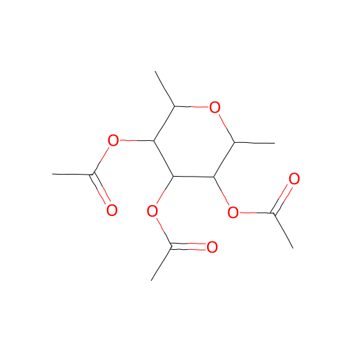 CC(=O)OC1C(C)OC(C)C(OC(C)=O)C1OC(C)=O